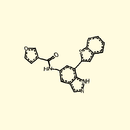 O=C(Nc1cc(-c2cc3ccccc3s2)c2[nH]ncc2c1)c1ccoc1